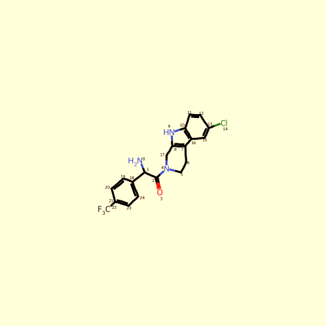 NC(C(=O)N1CCc2c([nH]c3ccc(Cl)cc23)C1)c1ccc(C(F)(F)F)cc1